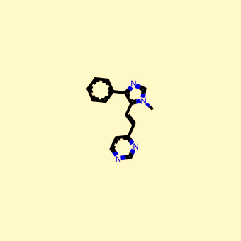 Cn1cnc(-c2ccccc2)c1C=Cc1ccncn1